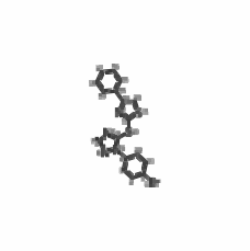 Brc1ccc(-n2nnnc2Sc2nc(-c3ccccc3)cs2)cc1